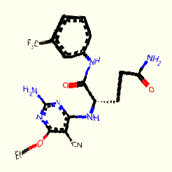 CCOc1nc(N)nc(N[C@@H](CCC(N)=O)C(=O)Nc2cccc(C(F)(F)F)c2)c1C#N